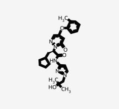 Cc1ccccc1Oc1cnn([C@H](CC2CCCC2)C(=O)Nc2ccn(CC(C)(C)O)n2)c(=O)c1